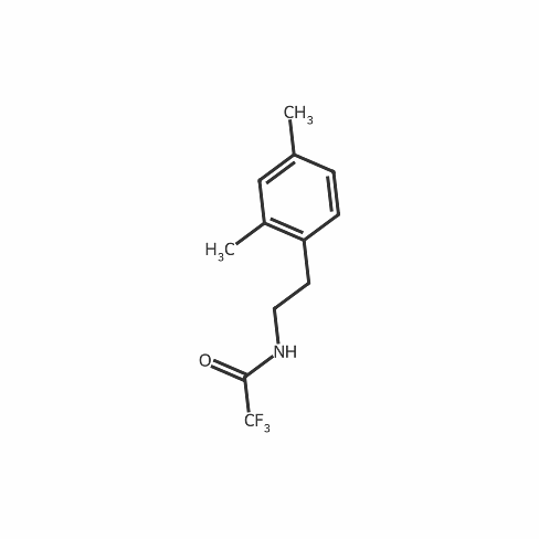 Cc1ccc(CCNC(=O)C(F)(F)F)c(C)c1